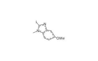 COc1ccc2c(c1)nc(I)n2C